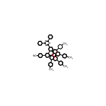 Cc1ccc(-c2ccc3c(c2)c2cc(-c4ccc(C)cc4)ccc2n3-c2ccc(-c3nc(-c4ccccc4)nc(-c4ccccc4)n3)cc2-c2cc(-c3ccc(C#N)cc3)ccc2-n2c3ccc(-c4ccc(C)cc4)cc3c3cc(C4CCC(C)CC4)ccc32)cc1